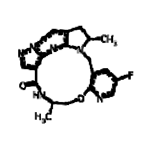 C[C@@H]1COc2ncc(F)cc2CN2c3nc4c(cnn4cc3C[C@H]2C)C(=O)N1